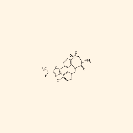 N[C@H]1CS(=O)(=O)c2ccc(-c3nnc(C(F)C(F)(F)F)o3)cc2N(Cc2ccc(Cl)cc2)C1=O